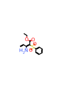 C=CC(N)=C(C(=O)OCC)S(=O)(=O)c1ccccc1